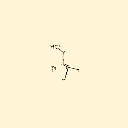 CC(C)=CCO.[Zn]